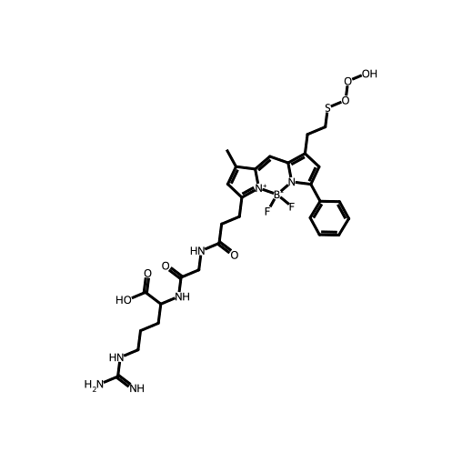 CC1=CC(CCC(=O)NCC(=O)NC(CCCNC(=N)N)C(=O)O)=[N+]2C1=Cc1c(CCSOOO)cc(-c3ccccc3)n1[B-]2(F)F